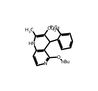 CCCCOc1nccc2c1C(c1ccccc1C(F)(F)F)C(C(=O)O)=C(C)N2